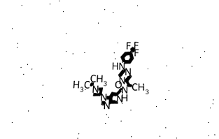 CC(NC(=O)c1cc2c(cn1)ncn2C1CN(C(C)C)C1)c1cnc(Nc2ccc(C(F)(F)F)cc2)cn1